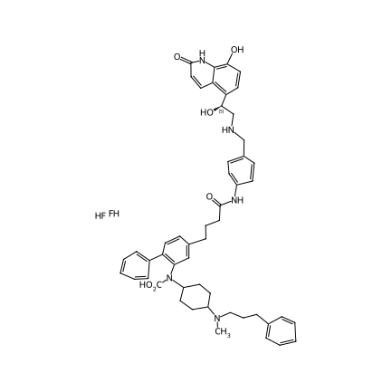 CN(CCCc1ccccc1)C1CCC(N(C(=O)O)c2cc(CCCC(=O)Nc3ccc(CNC[C@@H](O)c4ccc(O)c5[nH]c(=O)ccc45)cc3)ccc2-c2ccccc2)CC1.F.F